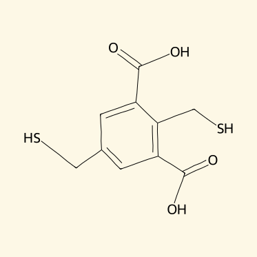 O=C(O)c1cc(CS)cc(C(=O)O)c1CS